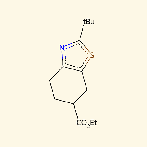 CCOC(=O)C1CCc2nc(C(C)(C)C)sc2C1